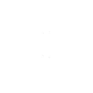 CCN1CCN(CC2CCC(OC3CCN(C)CC3)CC2)CC1